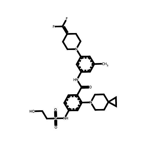 Cc1cc(NC(=O)c2ccc(NS(=O)(=O)CCO)cc2N2CCC3(CC2)CC3)cc(N2CCC(=C(F)F)CC2)c1